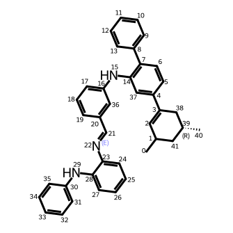 CC1C=C(c2ccc(-c3ccccc3)c(Nc3cccc(/C=N/c4ccccc4Nc4ccccc4)c3)c2)C[C@H](C)C1